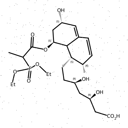 CCOP(=O)(OCC)C(C)C(=O)O[C@H]1C[C@H](O)C=C2C=C[C@H](C)[C@H](CC[C@@H](O)C[C@@H](O)CC(=O)O)C21